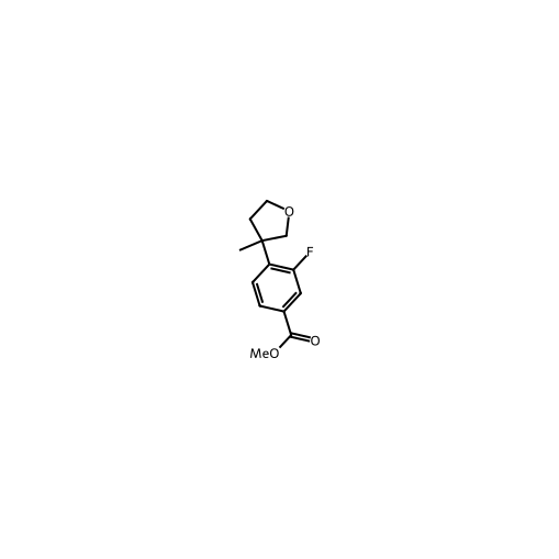 COC(=O)c1ccc(C2(C)CCOC2)c(F)c1